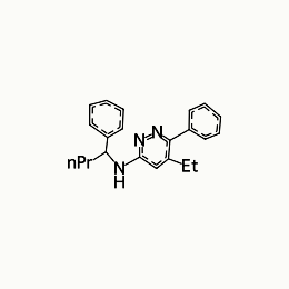 CCCC(Nc1cc(CC)c(-c2ccccc2)nn1)c1ccccc1